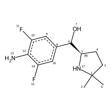 CC1(C)CC[C@H](C(O)c2cc(F)c(N)c(F)c2)N1